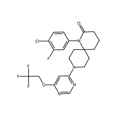 O=C1CCCC2(CCN(c3cc(OCC(F)(F)F)ncn3)CC2)N1c1ccc(Cl)c(F)c1